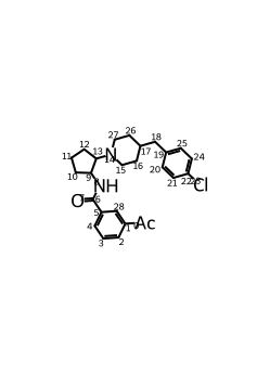 CC(=O)c1cccc(C(=O)NC2CCCC2N2CCC(Cc3ccc(Cl)cc3)CC2)c1